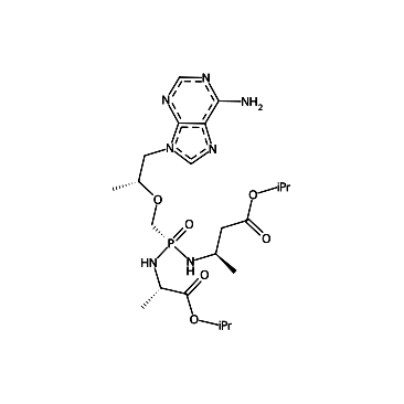 CC(C)OC(=O)C[C@@H](C)N[P@@](=O)(CO[C@H](C)Cn1cnc2c(N)ncnc21)N[C@@H](C)C(=O)OC(C)C